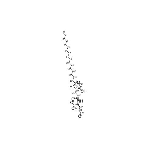 CCCCCCCCCCCCCCCCCC(=O)N[C@@H](CCC(=O)N[C@@H](CC[C]=O)C(=O)O)C(=O)O